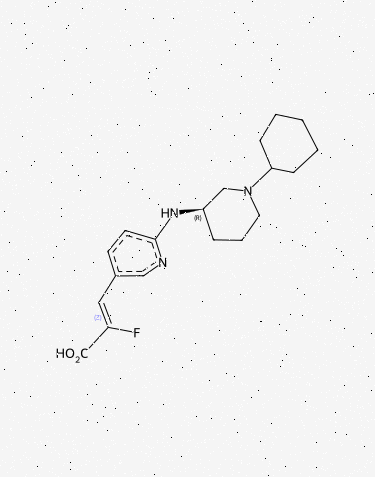 O=C(O)/C(F)=C/c1ccc(N[C@@H]2CCCN(C3CCCCC3)C2)nc1